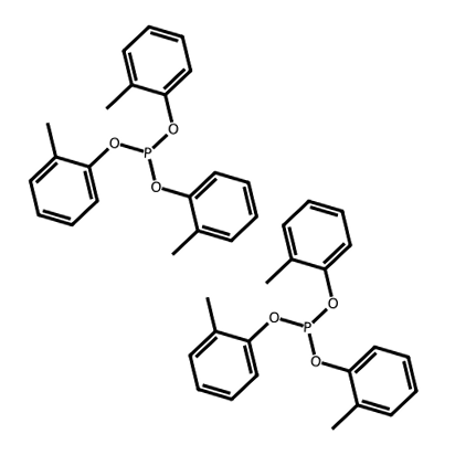 Cc1ccccc1OP(Oc1ccccc1C)Oc1ccccc1C.Cc1ccccc1OP(Oc1ccccc1C)Oc1ccccc1C